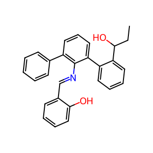 CCC(O)c1ccccc1-c1cccc(-c2ccccc2)c1N=Cc1ccccc1O